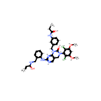 C=CC(O)NCc1ccccc1Nc1ncc2c(n1)N(Cc1cccc(NC(=O)CC)c1)C(=O)N(c1c(Cl)c(OC)cc(OC)c1Cl)C2